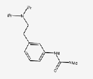 CNC(=O)Nc1cccc(CCN(C(C)C)C(C)C)c1